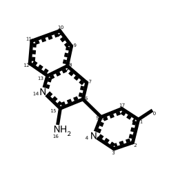 Cc1ccnc(-c2cc3ccccc3nc2N)c1